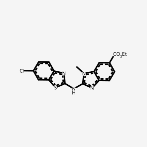 CCOC(=O)c1ccc2nc(Nc3nc4ccc(Cl)cc4s3)n(C)c2c1